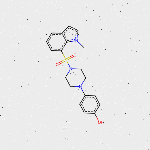 Cn1ccc2cccc(S(=O)(=O)N3CCN(c4ccc(O)cc4)CC3)c21